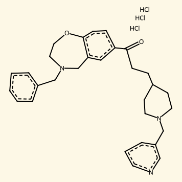 Cl.Cl.Cl.O=C(CCC1CCN(Cc2cccnc2)CC1)c1ccc2c(c1)CN(Cc1ccccc1)CCO2